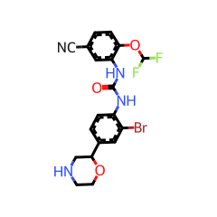 N#Cc1ccc(OC(F)F)c(NC(=O)Nc2ccc(C3CNCCO3)cc2Br)c1